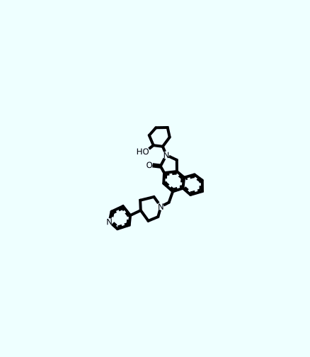 O=C1c2cc(CN3CCC(c4ccncc4)CC3)c3ccccc3c2CN1C1CCCCC1O